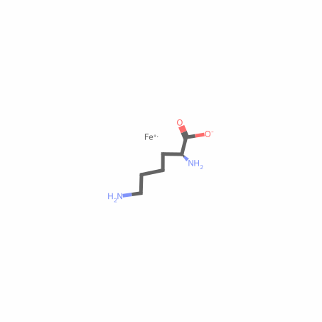 NCCCC[C@H](N)C(=O)[O-].[Fe+]